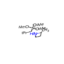 CC1CCN1.CO[Si](CC(C)C)(OC)OC